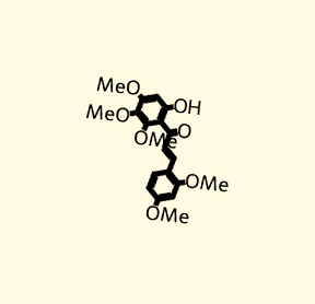 COc1ccc(/C=C/C(=O)c2c(O)cc(OC)c(OC)c2OC)c(OC)c1